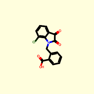 O=C(O)c1ccccc1CN1C(=O)C(=O)c2cccc(Cl)c21